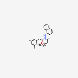 Cc1cc(C)cc(CC(=O)NC(CC(=O)O)Cc2ccc3ccccc3c2)c1